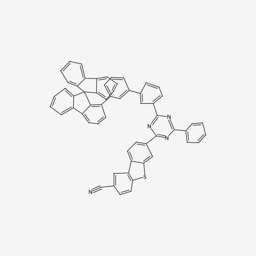 N#Cc1ccc2sc3cc(-c4nc(-c5ccccc5)nc(-c5cccc(-c6cccc(-c7cccc8c7C7(c9ccccc9-c9ccccc97)c7ccccc7-8)c6)c5)n4)ccc3c2c1